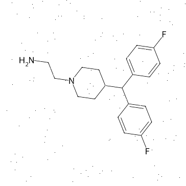 NCCN1CCC(C(c2ccc(F)cc2)c2ccc(F)cc2)CC1